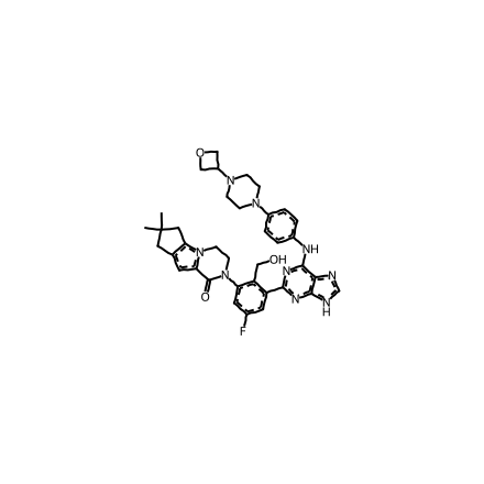 CC1(C)Cc2cc3n(c2C1)CCN(c1cc(F)cc(-c2nc(Nc4ccc(N5CCN(C6COC6)CC5)cc4)c4nc[nH]c4n2)c1CO)C3=O